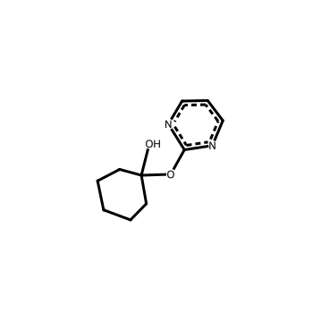 OC1(Oc2ncccn2)CCCCC1